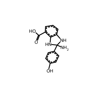 NC1(c2ccc(O)cc2)Nc2cccc(C(=O)O)c2N1